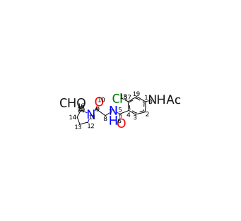 CC(=O)Nc1ccc(C(=O)NCC(=O)N2CCC[C@H]2C=O)c(Cl)c1